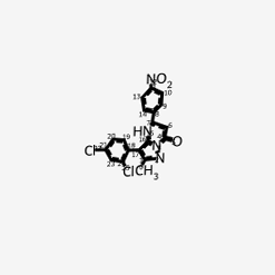 Cc1nn2c(=O)cc(-c3ccc([N+](=O)[O-])cc3)[nH]c2c1-c1ccc(Cl)cc1Cl